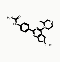 CC1COCCN1c1nc(-c2ccc(NC(N)=O)cc2)nc2c1CN(C=O)C2